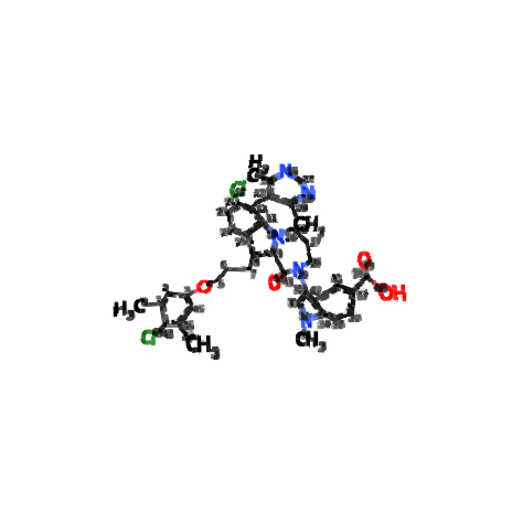 Cc1cc(OCCCc2c3n(c4c(-c5c(C)ncnc5C)c(Cl)ccc24)CCCN(c2cn(C)c4ccc(C(=O)O)cc24)C3=O)cc(C)c1Cl